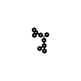 c1ccc(-c2ccc(-c3ccc(N(c4ccccc4)c4ccc(-c5cc6ccccc6c6ccccc56)cc4)cc3)cc2-c2ccccc2)cc1